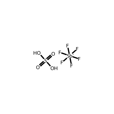 O=S(=O)(O)O.[F][Sb-]([F])([F])([F])([F])[F]